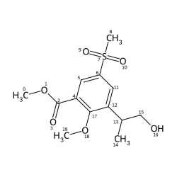 COC(=O)c1cc(S(C)(=O)=O)cc(C(C)CO)c1OC